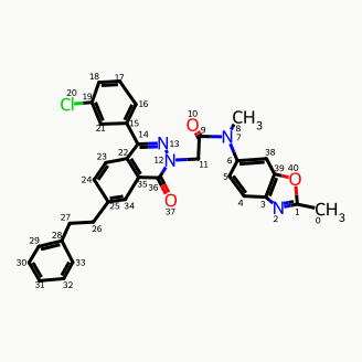 Cc1nc2ccc(N(C)C(=O)Cn3nc(-c4cccc(Cl)c4)c4ccc(CCc5ccccc5)cc4c3=O)cc2o1